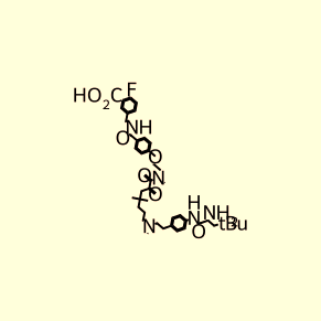 CN(CCCC(C)(C)CC(=O)C(=O)N(C)CCOc1ccc(C(=O)NCc2ccc(F)c(C(=O)O)c2)cc1)CCc1ccc(NC(=O)C(N)CC(C)(C)C)cc1